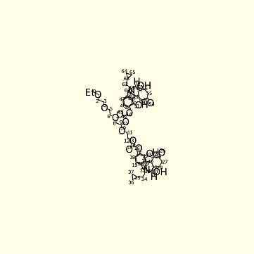 CCOCCOCCOCC(OCCOC(=O)Oc1ccc2c3c1O[C@H]1C(=O)CC[C@@]4(O)[C@@H](C2)N(CC2CC2)CC[C@]314)OC(=O)Oc1ccc2c3c1O[C@H]1C(=O)CC[C@@]4(O)[C@@H](C2)N(CC2CC2)CC[C@]314